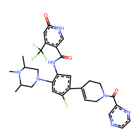 CC1CN(c2cc(F)c(C3=CCN(C(=O)c4cnccn4)CC3)cc2NC(=O)c2c[nH]c(=O)cc2C(F)(F)F)CC(C)N1C